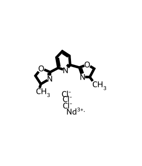 CC1COC(c2cccc(C3=NC(C)CO3)n2)=N1.[Cl-].[Cl-].[Cl-].[Nd+3]